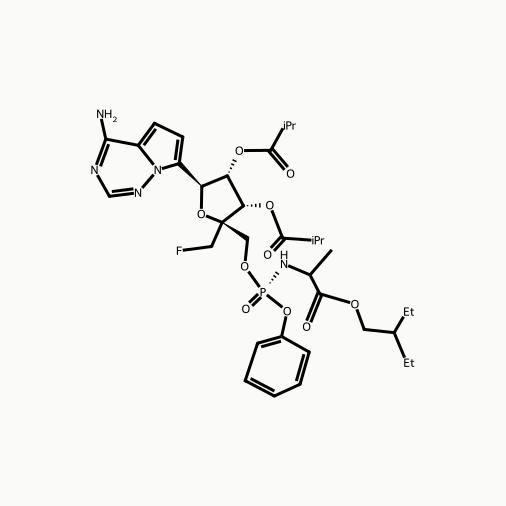 CCC(CC)COC(=O)C(C)N[P@](=O)(OC[C@@]1(CF)O[C@@H](c2ccc3c(N)ncnn23)[C@H](OC(=O)C(C)C)[C@@H]1OC(=O)C(C)C)Oc1ccccc1